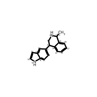 CC1NCC(c2ccc3[nH]ccc3c2)c2ccccc21